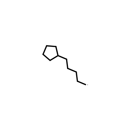 [CH2]CCCCC1CCCC1